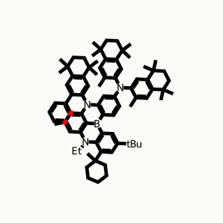 CCN1c2cc(C)cc3c2B(c2ccc(N(c4cc5c(cc4C)C(C)(C)CCC5(C)C)c4cc5c(cc4C)C(C)(C)CCC5(C)C)cc2N3c2cc3c(cc2-c2ccccc2)C(C)(C)CCC3(C)C)c2cc(C(C)(C)C)cc(C3(C)CCCCC3)c21